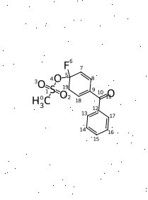 CS(=O)(=O)OC1(F)C=CC(C(=O)c2ccccc2)=CC1